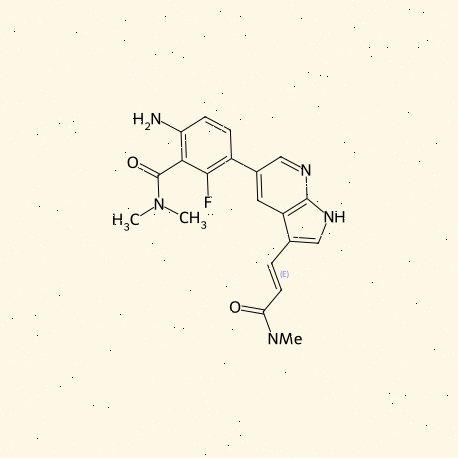 CNC(=O)/C=C/c1c[nH]c2ncc(-c3ccc(N)c(C(=O)N(C)C)c3F)cc12